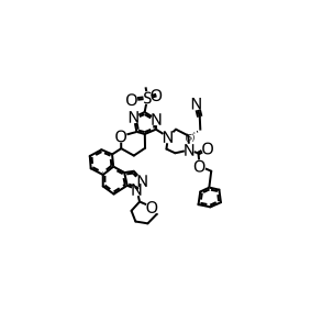 CS(=O)(=O)c1nc2c(c(N3CCN(C(=O)OCc4ccccc4)[C@@H](CC#N)C3)n1)CCC(c1cccc3ccc4c(cnn4C4CCCCO4)c13)O2